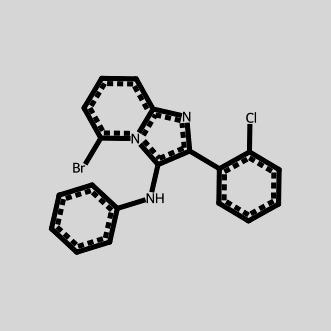 Clc1ccccc1-c1nc2cccc(Br)n2c1Nc1ccccc1